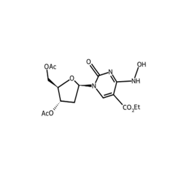 CCOC(=O)c1cn([C@H]2C[C@H](OC(C)=O)[C@@H](COC(C)=O)O2)c(=O)nc1NO